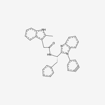 Cc1[nH]c2ccccc2c1CC(=O)N[C@@H](Cc1ccccc1)c1nc2ccccc2n1-c1cc#ccc1